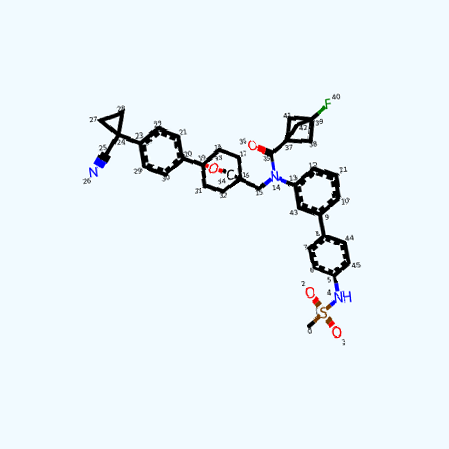 CS(=O)(=O)Nc1ccc(-c2cccc(N(CC34CCC(c5ccc(C6(C#N)CC6)cc5)(CC3)OC4)C(=O)C34CC(F)(C3)C4)c2)cc1